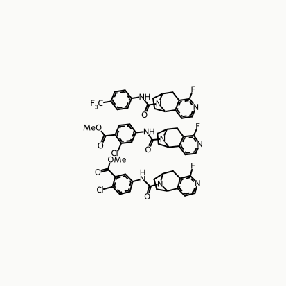 COC(=O)c1cc(NC(=O)N2C3CCC2c2ccnc(F)c2C3)ccc1Cl.COC(=O)c1ccc(NC(=O)N2C3CCC2c2ccnc(F)c2C3)cc1Cl.O=C(Nc1ccc(C(F)(F)F)cc1)N1C2CCC1c1ccnc(F)c1C2